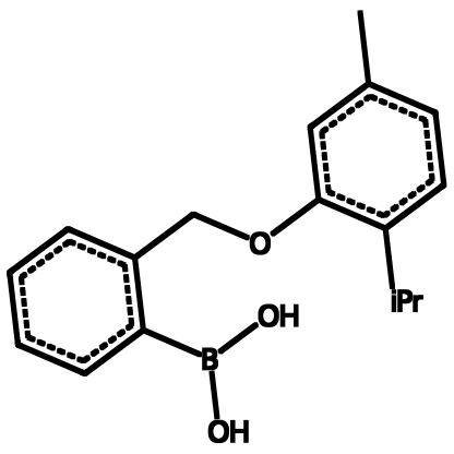 Cc1ccc(C(C)C)c(OCc2ccccc2B(O)O)c1